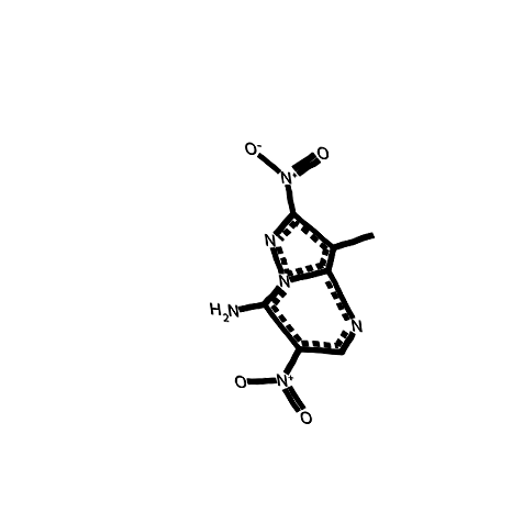 Cc1c([N+](=O)[O-])nn2c(N)c([N+](=O)[O-])cnc12